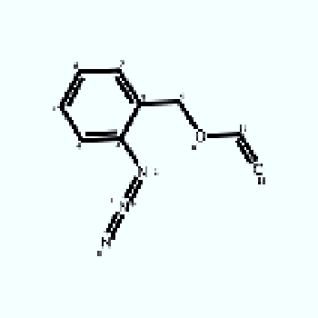 [N-]=[N+]=Nc1ccccc1COC=O